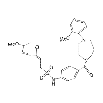 COc1ccccc1N1CCCN(C(=O)c2ccc(NS(=O)(=O)C/C=C(Cl)\C=C/C(C)OC)cc2)CC1